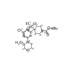 CCS(=O)(=O)C1(c2cc(N3CCOCC3C)nc(Cl)n2)CCN(C(=O)OC(C)(C)C)CC1